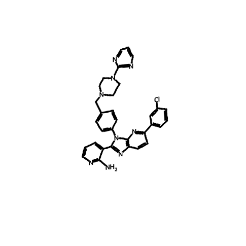 Nc1ncccc1-c1nc2ccc(-c3cccc(Cl)c3)nc2n1-c1ccc(CN2CCN(c3ncccn3)CC2)cc1